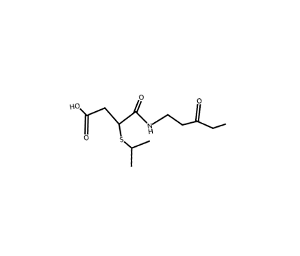 CCC(=O)CCNC(=O)C(CC(=O)O)SC(C)C